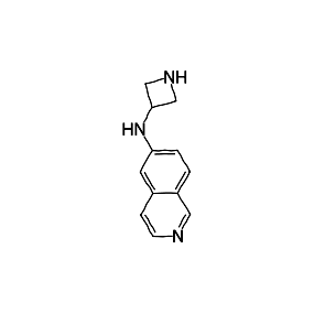 c1cc2cc(NC3CNC3)ccc2cn1